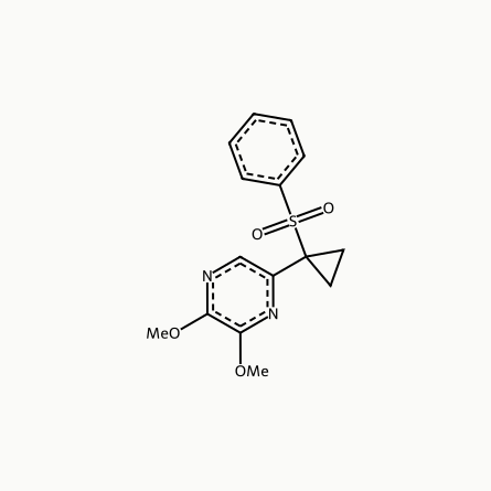 COc1ncc(C2(S(=O)(=O)c3ccccc3)CC2)nc1OC